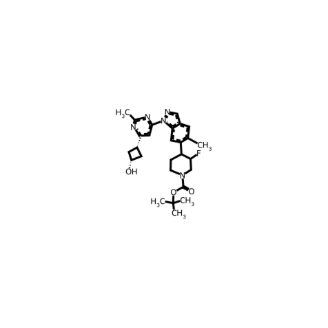 Cc1nc(-n2ncc3cc(C)c(C4CCN(C(=O)OC(C)(C)C)CC4F)cc32)cc([C@H]2C[C@@H](O)C2)n1